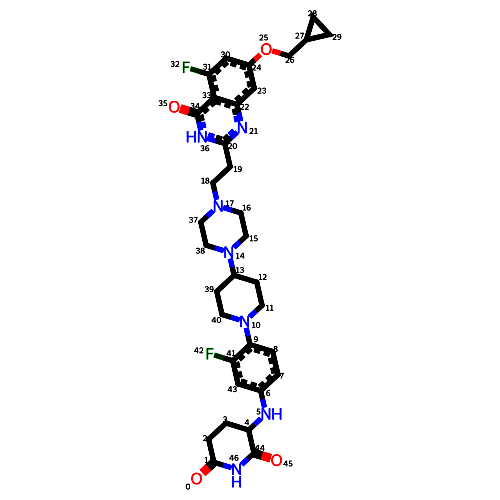 O=C1CCC(Nc2ccc(N3CCC(N4CCN(CCc5nc6cc(OCC7CC7)cc(F)c6c(=O)[nH]5)CC4)CC3)c(F)c2)C(=O)N1